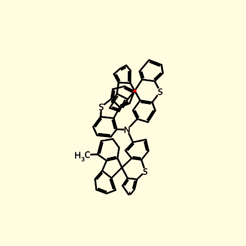 CC1=CCCC2=C1c1ccccc1C21c2ccccc2Sc2ccc(N(c3ccc4c(c3)C3(c5ccccc5S4)c4ccccc4-c4ccccc43)c3cccc4sc5ccccc5c34)cc21